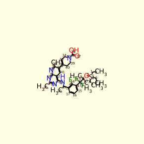 CC[Si](CC)(CC)OC(C)(C)C(F)(F)c1cccc(C(C)Nc2nc(C)nc3nc(C)c(C4=CCN(C(=O)O)CC4)cc23)c1F